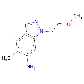 COCCn1ncc2cc(C)c(N)cc21